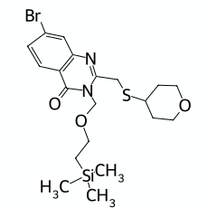 C[Si](C)(C)CCOCn1c(CSC2CCOCC2)nc2cc(Br)ccc2c1=O